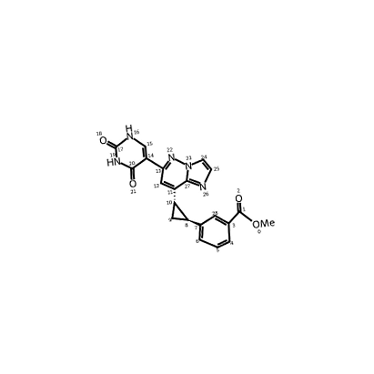 COC(=O)c1cccc([C@H]2C[C@@H]2c2cc(-c3c[nH]c(=O)[nH]c3=O)nn3ccnc23)c1